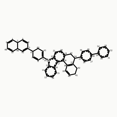 C1=CC2C=CC(C3C=CC(n4c5ccccc5c5c6c(ccc54)CC(c4ccc(-c5ccccc5)cc4)C4=C6C=CCC4)=CC3)=CC2C=C1